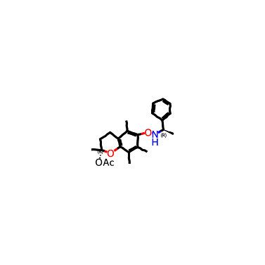 CC(=O)O[C@]1(C)CCc2c(C)c(ON[C@H](C)c3ccccc3)c(C)c(C)c2O1